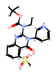 CCN(C(=O)OC(C)(C)C)c1nc2cccc(S(C)(=O)=O)c2c(=O)n1-c1cccnc1